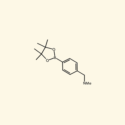 CNCc1ccc(B2OC(C)(C)C(C)(C)O2)cc1